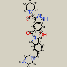 CN1CCN(Cc2ccc3c(c2)CN(C(=O)c2cc4c(C(=O)N5CCCCC5)n[nH]c4cc2O)C3)CC1